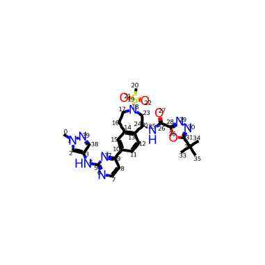 Cn1cc(Nc2nccc(-c3ccc4c(c3)CCN(S(C)(=O)=O)C[C@@H]4NC(=O)c3nnc(C(C)(C)C)o3)n2)cn1